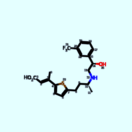 C/C(=C\C(=O)O)c1ccc(CC[C@@H](C)NC[C@H](O)c2cccc(C(F)(F)F)c2)s1